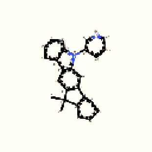 CC1(C)c2ccccc2-c2cc3c(cc21)c1ccccc1n3-c1cccnc1